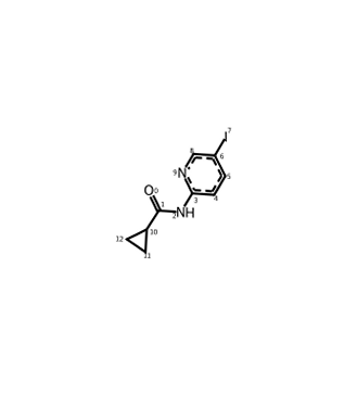 O=C(Nc1ccc(I)cn1)C1CC1